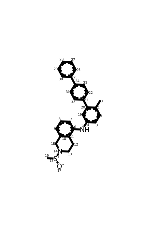 Cc1ccc(Nc2cccc3c2CCN([S+](C)[O-])C3)cc1-c1ccc(-c2ccccc2)cc1